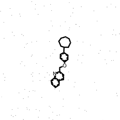 c1ccc2nc(COc3ccc(C4CCCCCCC4)cc3)ccc2c1